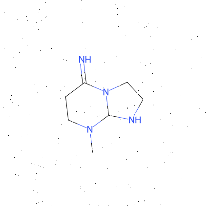 CN1CCC(=N)N2CCNC12